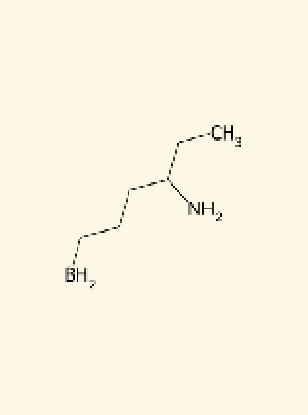 BCCCC(N)CC